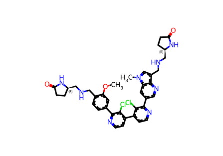 COc1cc(-c2nccc(-c3ccnc(-c4cnc5c(CNC[C@H]6CCC(=O)N6)cn(C)c5c4)c3Cl)c2Cl)ccc1CNC[C@H]1CCC(=O)N1